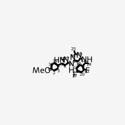 COc1ccc(-c2cc(Nc3cc(NC(C)c4ccc(F)cc4F)nc(C)n3)n[nH]2)cc1